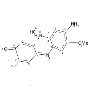 COc1cc(N=C2C=CC(=O)C(C)=C2)c(N)cc1N.Cl